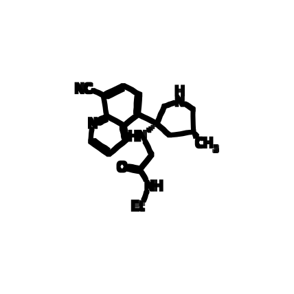 CCNC(=O)CN[C@]1(c2ccc(C#N)c3ncccc23)CNC[C@@H](C)C1